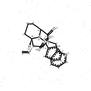 C=C[C@H]1CN(Cc2ccccn2)C(=O)C2CCC[C@@H]1N2S(=O)(=O)c1ccccn1